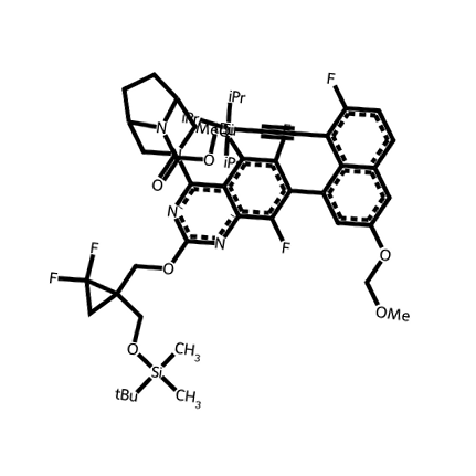 COCOc1cc(-c2c(F)c(OC)c3c(N4CC5CCC(C4)N5C(=O)OC(C)(C)C)nc(OCC4(CO[Si](C)(C)C(C)(C)C)CC4(F)F)nc3c2F)c2c(C#C[Si](C(C)C)(C(C)C)C(C)C)c(F)ccc2c1